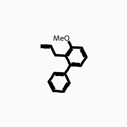 C=CCc1c(OC)cccc1-c1ccccc1